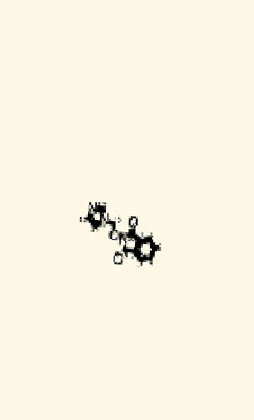 O=C1c2ccccc2C(=O)N1OCn1ccnc1